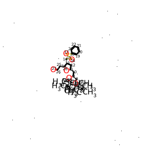 CC(C)(C)[Si](C)(C)OC[C@H](C[C@@H]1C[C@@H](CS(=O)(=O)c2ccccc2)[C@H](CC=O)O1)O[Si](C)(C)C(C)(C)C